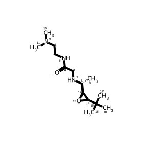 C[C@@H](NCC(=O)NCCN(C)C)C1OC1C(C)(C)C